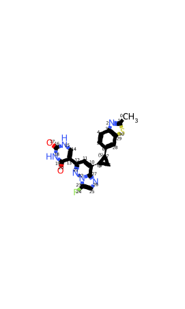 Cc1nc2ccc([C@H]3C[C@@H]3c3cc(-c4c[nH]c(=O)[nH]c4=O)nn4c(F)cnc34)cc2s1